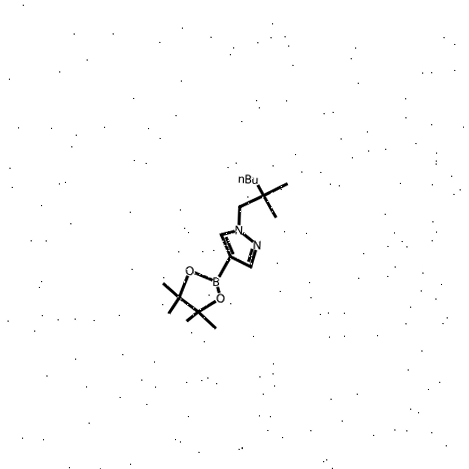 C[CH]CCC(C)(C)Cn1cc(B2OC(C)(C)C(C)(C)O2)cn1